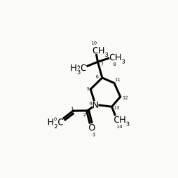 C=CC(=O)N1CC(C(C)(C)C)CCC1C